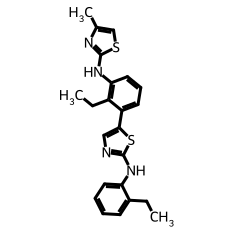 CCc1ccccc1Nc1ncc(-c2cccc(Nc3nc(C)cs3)c2CC)s1